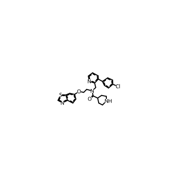 O=C(C1CCNCC1)N(CCOc1ccc2ncsc2c1)Cc1ncccc1-c1ccc(Cl)cc1